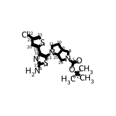 CC(C)(C)OC(=O)N1CC2CCN(c3sc(N)nc3-c3cc(Cl)cs3)C2C1